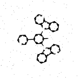 N#Cc1c(-n2c3ccccc3c3ncccc32)cc(-c2cccnc2)cc1-n1c2ccccc2c2ncccc21